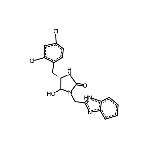 O=C1N[C@@H](Cc2ccc(Cl)cc2Cl)C(O)N1Cc1nc2ccccc2[nH]1